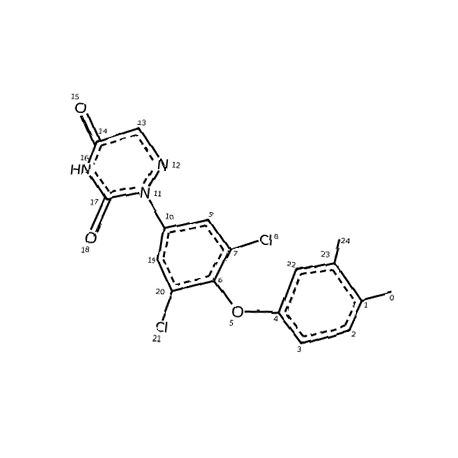 Cc1ccc(Oc2c(Cl)cc(-n3ncc(=O)[nH]c3=O)cc2Cl)cc1C